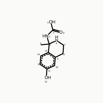 CC1(NC(=O)O)NCCc2cc(O)ccc21